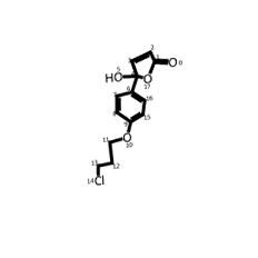 O=C1C=CC(O)(c2ccc(OCCCCl)cc2)O1